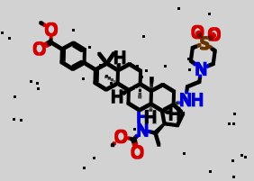 COC(=O)NC(C)[C@@H]1CC[C@]2(NCCN3CCS(=O)(=O)CC3)CC[C@]3(C)[C@H](CC[C@@H]4[C@@]5(C)CC=C(c6ccc(C(=O)OC)cc6)C(C)(C)[C@@H]5CC[C@]43C)[C@@H]12